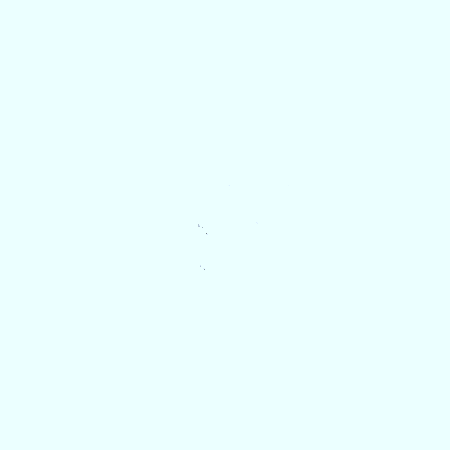 CC1C2=CC3C=CCNC3C=C1C2C